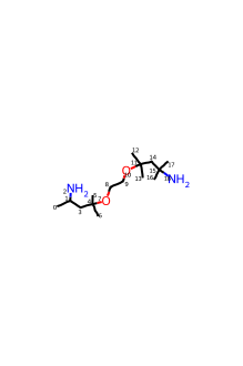 CC(N)CC(C)(C)OCCOC(C)(C)CC(C)(C)N